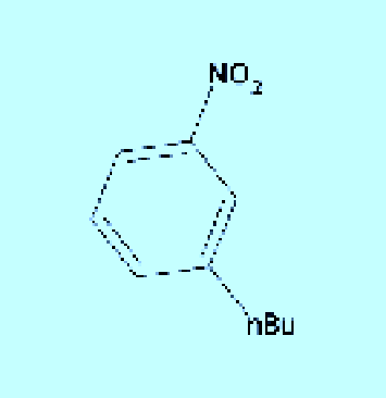 CC[CH]Cc1cccc([N+](=O)[O-])c1